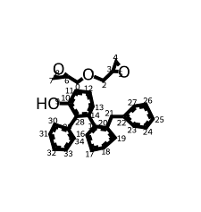 C(OCC1CO1)C1CO1.Oc1cccc(-c2ccccc2Cc2ccccc2)c1-c1ccccc1